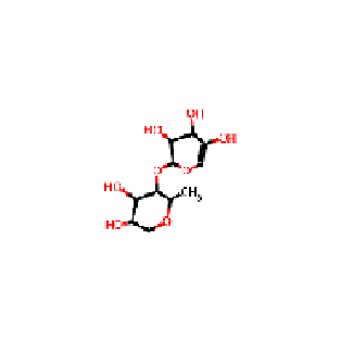 CC1OCC(O)C(O)C1OC1OC=C(O)C(O)C1O